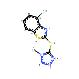 CCn1nnnc1Sc1nc2c(Cl)cccc2s1